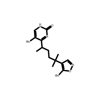 CC(CCC(C)(C)c1cnoc1C(C)(C)C)c1nc(=O)[nH]cc1C(C)(C)C